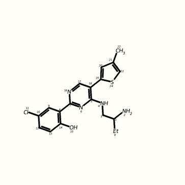 CCC(N)CNc1nc(-c2cc(Cl)ccc2O)ncc1-c1cc(C)cs1